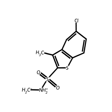 [CH2-][NH2+]S(=O)(=O)c1sc2ccc(Cl)cc2c1C